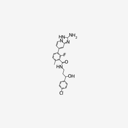 Cc1ccc(C2=CC3=NC(N)NN3C=C2)c(F)c1C(=O)NCCC(O)c1ccc(Cl)cc1